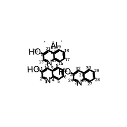 Oc1cnc2ccccc2c1.Oc1cnc2ccccc2c1.Oc1cnc2ccccc2c1.[Al]